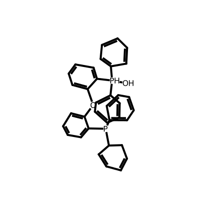 O[PH](c1ccccc1)(c1ccccc1)c1ccccc1Oc1ccccc1P(c1ccccc1)C1C=CC=CC1